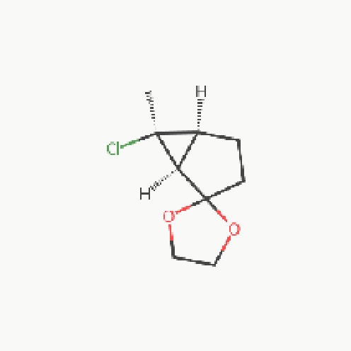 C[C@]1(Cl)[C@H]2CCC3(OCCO3)[C@H]21